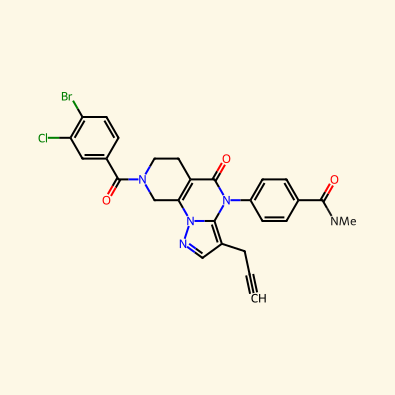 C#CCc1cnn2c3c(c(=O)n(-c4ccc(C(=O)NC)cc4)c12)CCN(C(=O)c1ccc(Br)c(Cl)c1)C3